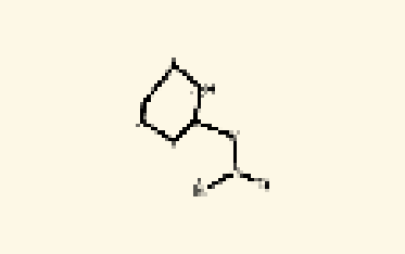 CCN(CC)CC1CCCCN1